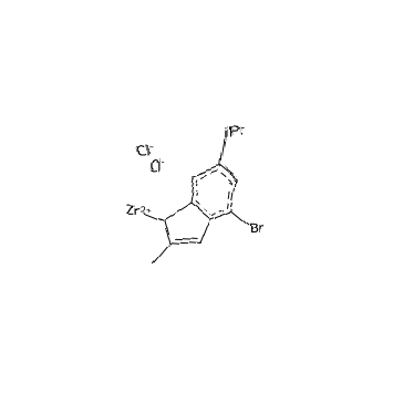 CC1=Cc2c(Br)cc(C(C)C)cc2[CH]1[Zr+2].[Cl-].[Cl-]